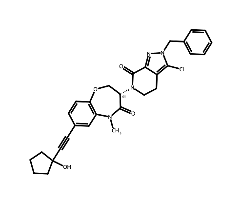 CN1C(=O)[C@@H](N2CCc3c(nn(Cc4ccccc4)c3Cl)C2=O)COc2ccc(C#CC3(O)CCCC3)cc21